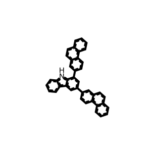 c1ccc2c(c1)ccc1cc(-c3cc(-c4ccc5c(ccc6ccccc65)c4)c4[nH]c5ccccc5c4c3)ccc12